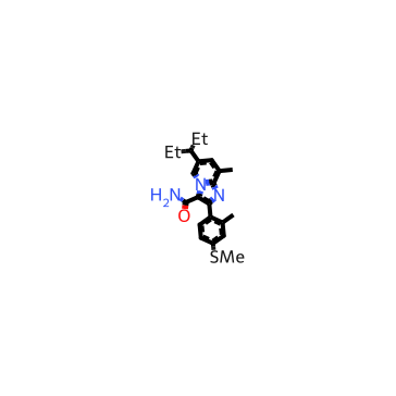 CCC(CC)c1cc(C)c2nc(-c3ccc(SC)cc3C)c(C(N)=O)n2c1